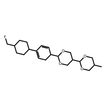 CC1COC(C2COC(C3C=CC(C4CCC(CF)CC4)=CC3)OC2)OC1